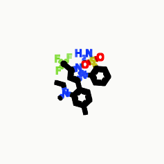 CCN(C)c1cc(C)ccc1-c1cc(C(F)(F)F)nn1-c1ccccc1S(N)(=O)=O